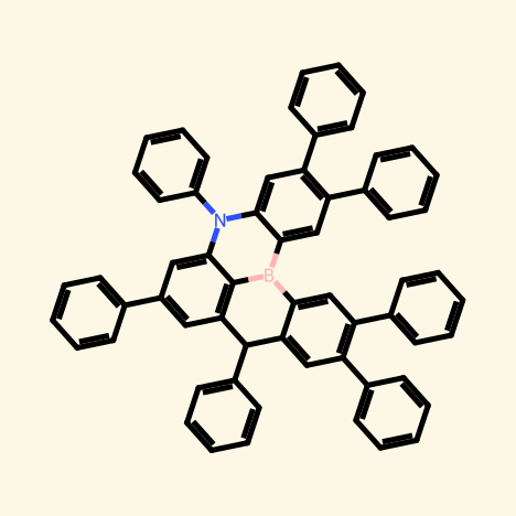 c1ccc(-c2cc3c4c(c2)N(c2ccccc2)c2cc(-c5ccccc5)c(-c5ccccc5)cc2B4c2cc(-c4ccccc4)c(-c4ccccc4)cc2C3c2ccccc2)cc1